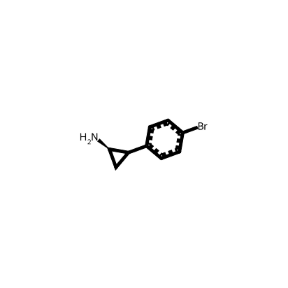 N[C@@H]1CC1c1ccc(Br)cc1